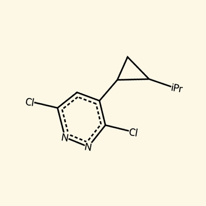 CC(C)C1CC1c1cc(Cl)nnc1Cl